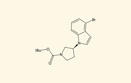 CC(C)(C)OC(=O)N1CC[C@H](n2ccc3c(Br)cccc32)C1